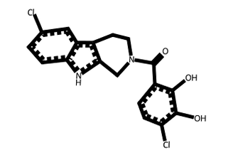 O=C(c1ccc(Cl)c(O)c1O)N1CCc2c([nH]c3ccc(Cl)cc23)C1